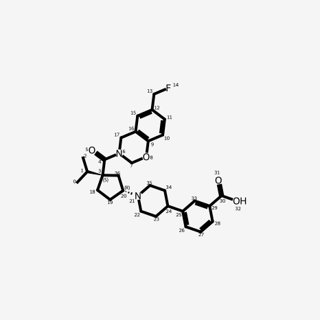 CC(C)[C@]1(C(=O)N2COc3ccc(CF)cc3C2)CC[C@@H](N2CCC(c3cccc(C(=O)O)c3)CC2)C1